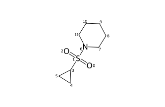 O=S(=O)(C1CC1)N1CCCCC1